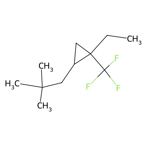 CCC1(C(F)(F)F)CC1CC(C)(C)C